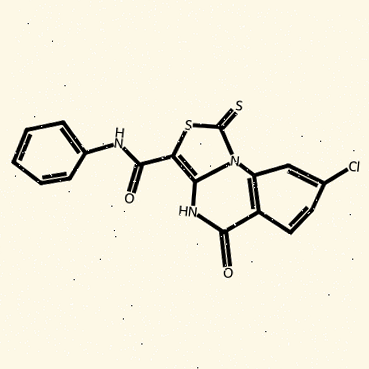 O=C(Nc1ccccc1)c1sc(=S)n2c1[nH]c(=O)c1ccc(Cl)cc12